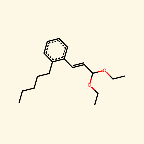 CCCCCc1ccccc1/C=C/C(OCC)OCC